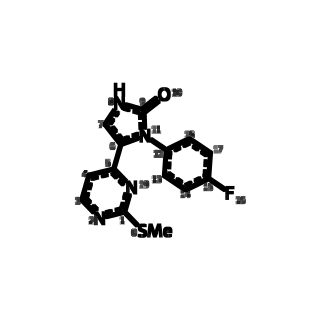 CSc1nccc(-c2c[nH]c(=O)n2-c2ccc(F)cc2)n1